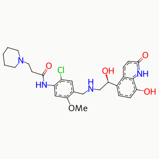 COc1cc(NC(=O)CCN2CCCCC2)c(Cl)cc1CNC[C@@H](O)c1ccc(O)c2[nH]c(=O)ccc12